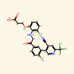 N#Cc1cc(C(F)(F)F)ncc1-c1cc(C(=O)CNc2c(Cl)cccc2OCCC(=O)O)ccc1Cl